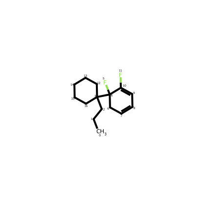 CCCC1(C2(F)CC=CC=C2F)CCCCC1